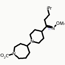 CCOC(=O)N1CCCC(N2CCC(/C(CCC(C)C)=N/OC)CC2)CC1